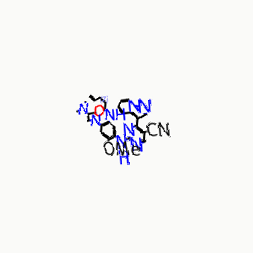 C=C/C=C\C(=O)Nc1cc(Nc2ncc(C#N)c(-c3cnn4ccccc34)n2)c(OC)cc1N1CC(N(C)C)C1